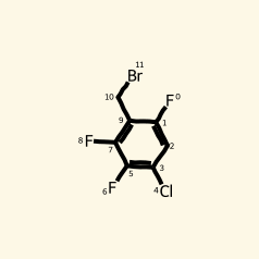 Fc1cc(Cl)c(F)c(F)c1CBr